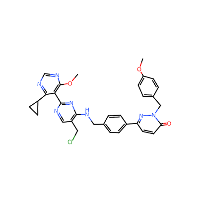 COc1ccc(Cn2nc(-c3ccc(CNc4nc(-c5c(OC)ncnc5C5CC5)ncc4CCl)cc3)ccc2=O)cc1